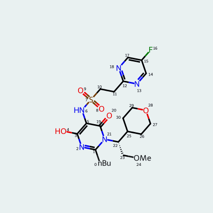 CCCCc1nc(O)c(NS(=O)(=O)CCc2ncc(F)cn2)c(=O)n1[C@@H](COC)C1CCOCC1